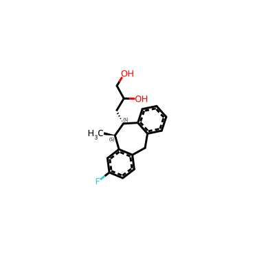 C[C@@H]1c2cc(F)ccc2Cc2ccccc2[C@H]1CC(O)CO